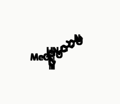 COc1ccc(NC(=O)c2ccc(-c3ccc(C4=NCCO4)cc3C)cc2)cc1N1CCN(C)CC1